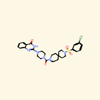 O=C(N1CCN(c2nc3ccccc3c(=O)[nH]2)CC1)N1CCC2(CC1)CCN(S(=O)(=O)c1cccc(Cl)c1)CC2